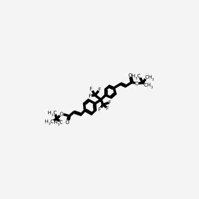 CC(C)(C)OC(=O)C=Cc1ccc(C(c2ccc(C=CC(=O)OC(C)(C)C)cc2)(C(F)(F)F)C(F)(F)F)cc1